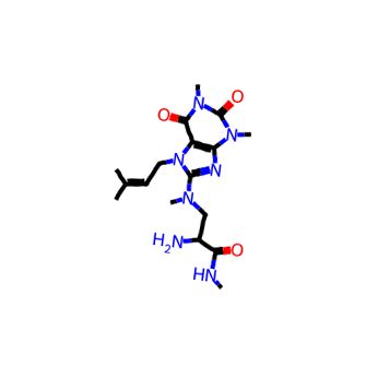 CNC(=O)C(N)CN(C)c1nc2c(c(=O)n(C)c(=O)n2C)n1CC=C(C)C